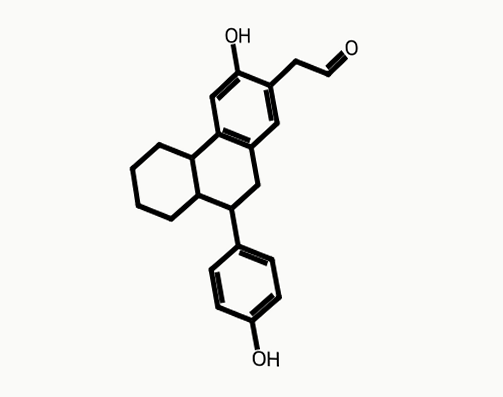 O=CCc1cc2c(cc1O)C1CCCCC1C(c1ccc(O)cc1)C2